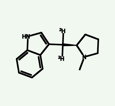 [2H]C([2H])(c1c[nH]c2ccccc12)[C@H]1CCCN1C